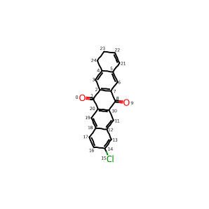 O=C1c2cc3c(cc2C(=O)c2cc4cc(Cl)ccc4cc21)C=CCC3